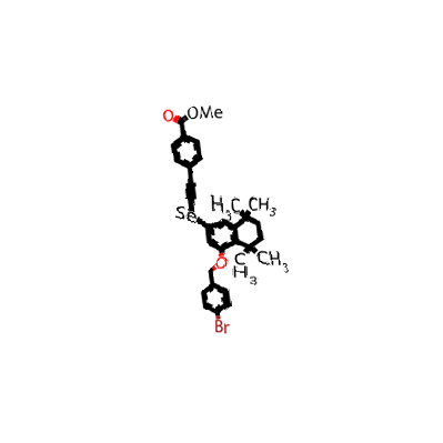 COC(=O)c1ccc(C#C[Se]c2cc(OCc3ccc(Br)cc3)c3c(c2)C(C)(C)CCC3(C)C)cc1